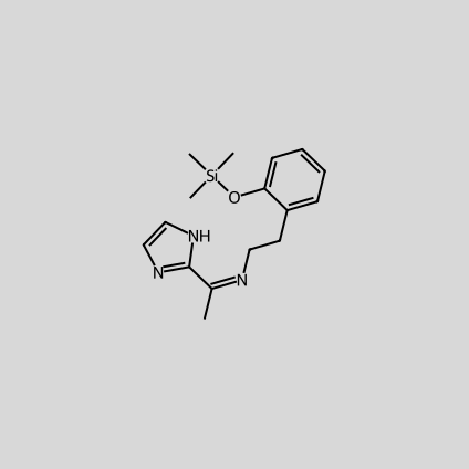 CC(=NCCc1ccccc1O[Si](C)(C)C)c1ncc[nH]1